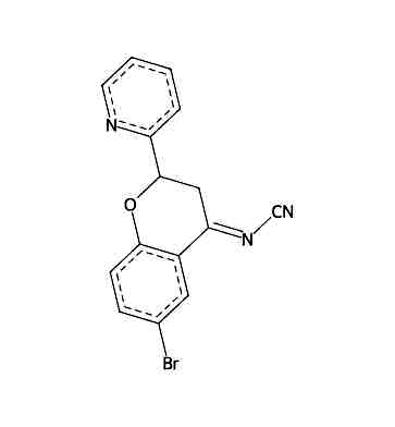 N#C/N=C1\CC(c2ccccn2)Oc2ccc(Br)cc21